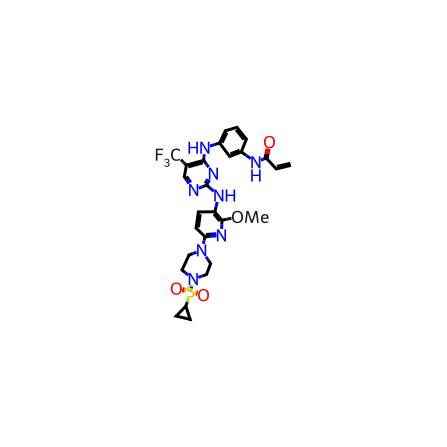 C=CC(=O)Nc1cccc(Nc2nc(Nc3ccc(N4CCN(S(=O)(=O)C5CC5)CC4)nc3OC)ncc2C(F)(F)F)c1